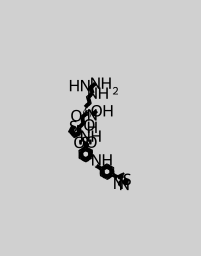 N=C(N)NCCC[C@H](NO)C(=O)C(=O)c1sccc1NS(=O)(=O)c1cccc(NCc2ccc(-c3csnn3)cc2)c1